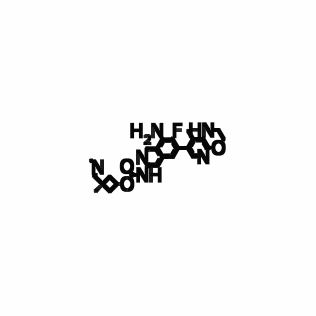 CN=C[C@]1(C)C[C@@H](OC(=O)Nc2cc3cc(-c4cnc5c(c4C)NCCO5)c(F)c(N)c3cn2)C1